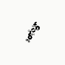 CCC(C)(C)Nc1cccnc1N1CCN(C(=O)c2cc3cc([N+](=O)[O-])ccc3[nH]2)CC1